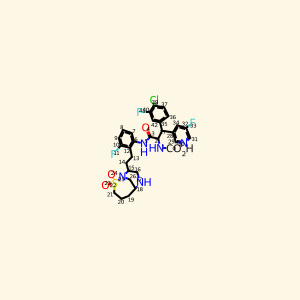 O=C(O)NC(C(=O)Nc1cccc(F)c1CCC1CNC2CCCS(=O)(=O)N1C2)C(c1cncc(F)c1)c1ccc(Cl)c(F)c1